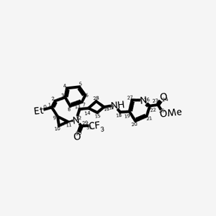 CCC(=Cc1ccccc1)C1C[C@@H]1N(CC1CC(NCc2ccc(C(=O)OC)nc2)C1)C(=O)C(F)(F)F